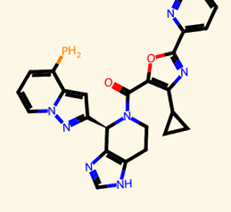 O=C(c1oc(-c2ccccn2)nc1C1CC1)N1CCc2[nH]cnc2[C@H]1c1cc2c(P)cccn2n1